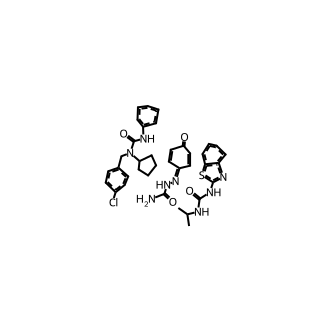 CC(C)NC(=O)Nc1nc2ccccc2s1.NC(=O)NN=C1C=CC(=O)C=C1.O=C(Nc1ccccc1)N(Cc1ccc(Cl)cc1)C1CCCC1